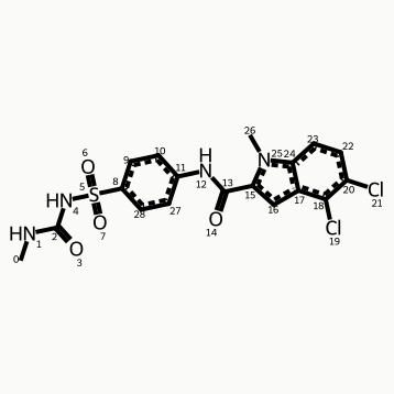 CNC(=O)NS(=O)(=O)c1ccc(NC(=O)c2cc3c(Cl)c(Cl)ccc3n2C)cc1